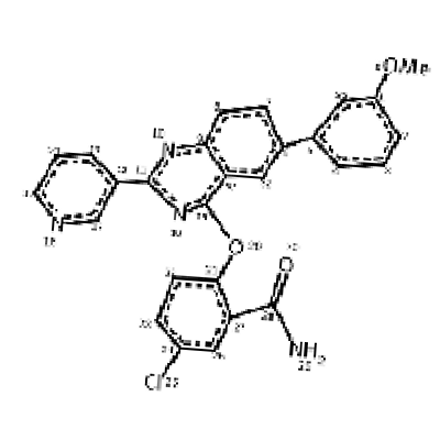 COc1cccc(-c2ccc3nc(-c4cccnc4)nc(Oc4ccc(Cl)cc4C(N)=O)c3c2)c1